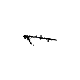 Cc1ccc(CN(CCNC(=O)OCCOCCOCCNC(=O)OC/C=C/COC(=O)NCCOCCOCCOC(=O)NCCOCCOCCCCCCCl)C(=O)c2ccc(NC(=O)CCCCCCC(N)=O)cc2)cc1N=[N+]=[N-]